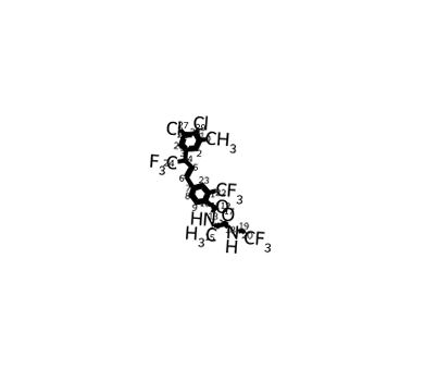 Cc1cc(C(/C=C/c2ccc(C(=O)NC(C)C(=O)NCC(F)(F)F)c(C(F)(F)F)c2)C(F)(F)F)cc(Cl)c1Cl